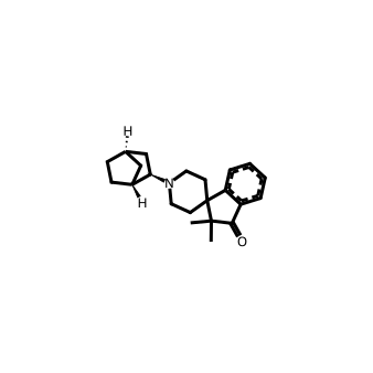 CC1(C)C(=O)c2ccccc2C12CCN([C@@H]1C[C@@H]3CC[C@@H]1C3)CC2